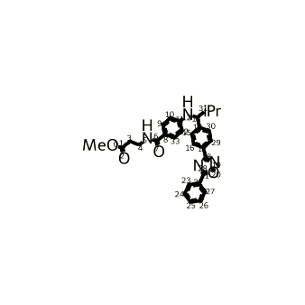 COC(=O)CCNC(=O)c1ccc(NC(c2ccc(-c3noc(-c4ccccc4)n3)cc2)C(C)C)cc1